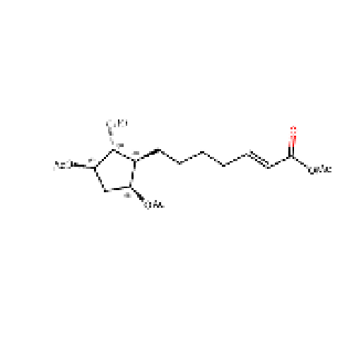 COC(=O)C=CCCCC[C@@H]1[C@@H](C=O)[C@H](OC(C)=O)C[C@@H]1OC(C)=O